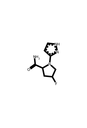 NC(=O)C1CC(F)CN1c1cc[nH]n1